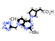 Cn1nnnc1Cn1ccc2c(N3CCC(CC(=O)O)C3)nc(C(C)(C)C)nc21